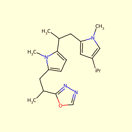 CC(C)c1cc(CC(C)c2ccc(CC(C)c3nnco3)n2C)n(C)c1